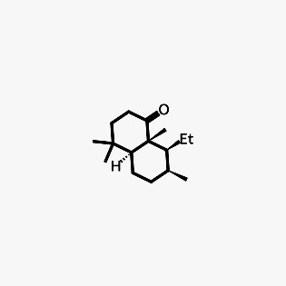 CC[C@H]1[C@@H](C)CC[C@H]2C(C)(C)CCC(=O)[C@]12C